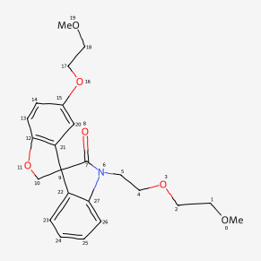 COCCOCCN1C(=O)C2(COc3ccc(OCCOC)cc32)c2ccccc21